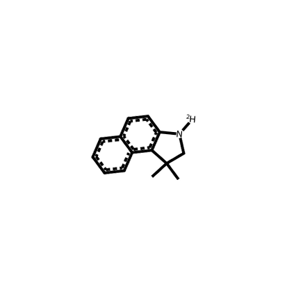 [2H]N1CC(C)(C)c2c1ccc1ccccc21